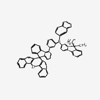 CC1(C)c2ccccc2-c2ccc(N(c3cccc(-c4cccc5c4-c4ccccc4C54c5ccc6ccccc6c5Oc5c4ccc4ccccc54)c3)c3ccc4ccccc4c3)cc21